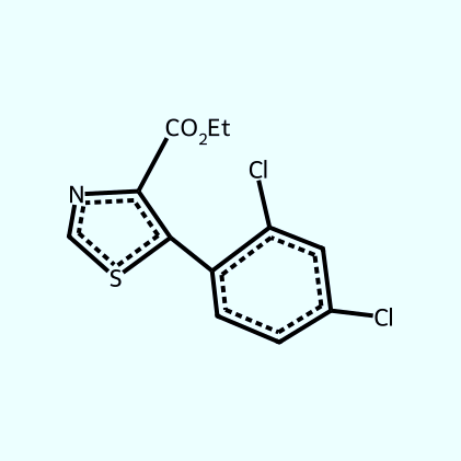 CCOC(=O)c1ncsc1-c1ccc(Cl)cc1Cl